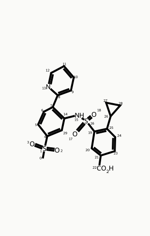 CS(=O)(=O)c1ccc(-c2ccccn2)c(NS(=O)(=O)c2cc(C(=O)O)ccc2C2CC2)c1